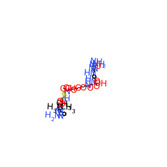 CCCCc1nc2c(N)nc3ccccc3c2n1CC(C)(C)COC(=O)OCCSSC[C@H](NC(=O)CCOCCOCCOCCNC(=O)CC[C@H](NC(=O)c1ccc(NCc2cnc3nc(N)[nH]c(=O)c3n2)cc1)C(=O)O)C(=O)O